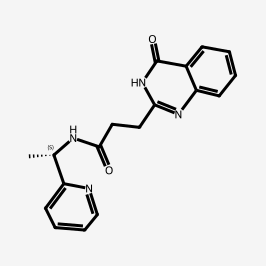 C[C@H](NC(=O)CCc1nc2ccccc2c(=O)[nH]1)c1ccccn1